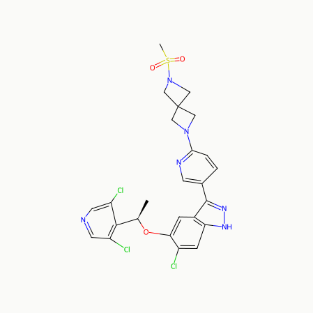 C[C@@H](Oc1cc2c(-c3ccc(N4CC5(C4)CN(S(C)(=O)=O)C5)nc3)n[nH]c2cc1Cl)c1c(Cl)cncc1Cl